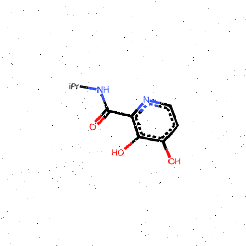 CC(C)NC(=O)c1nccc(O)c1O